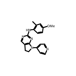 COc1ccc(Nc2ncc3c(n2)N(c2ccncc2)CC3)c(C)c1